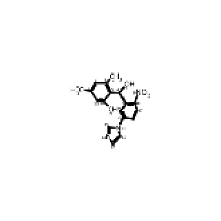 Cc1cc(C)c(C(O)c2cc(-n3ccnc3)ccc2[N+](=O)[O-])c(C)c1